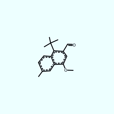 COc1cc(C=O)c(C(C)(C)C)c2ccc(C)cc12